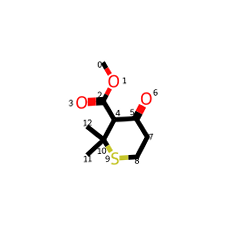 COC(=O)C1C(=O)CCSC1(C)C